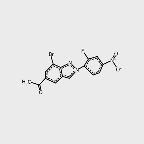 CC(=O)c1cc(Br)c2nn(-c3ccc([N+](=O)[O-])cc3F)cc2c1